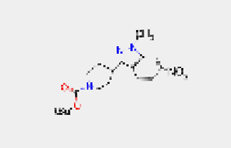 Cn1nc(C2CCN(C(=O)OC(C)(C)C)CC2)c2ccc([N+](=O)[O-])cc21